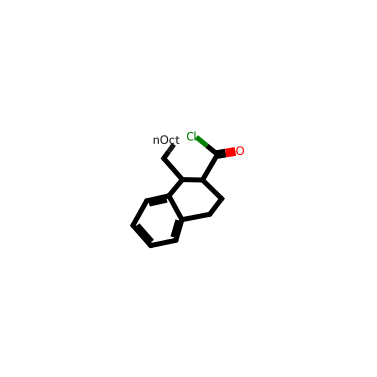 CCCCCCCCCC1c2ccccc2CCC1C(=O)Cl